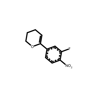 O=[N+]([O-])c1ccc(C2=CCCCO2)cc1F